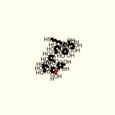 O=P(O)(OCCCCCCS)O[C@H]1C(O[C@H]2OC(CO[C@H]3OC(CO[C@H]4OC(CO)[C@@H](O)C(O)[C@H]4O[C@H]4OC(CO)[C@@H](O)C(O)[C@H]4O[C@H]4OC(CO)[C@@H](O)C(O)[C@H]4O)[C@@H](O)C(O)[C@H]3O)[C@@H](O)C(O)[C@H]2O)C(O)[C@H](O)[C@@H](O)C1O[C@H]1OC(CO)[C@@H](O)C(O)[C@H]1O